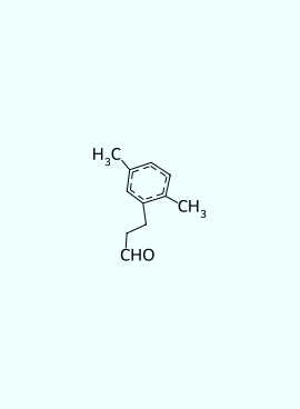 Cc1ccc(C)c(CCC=O)c1